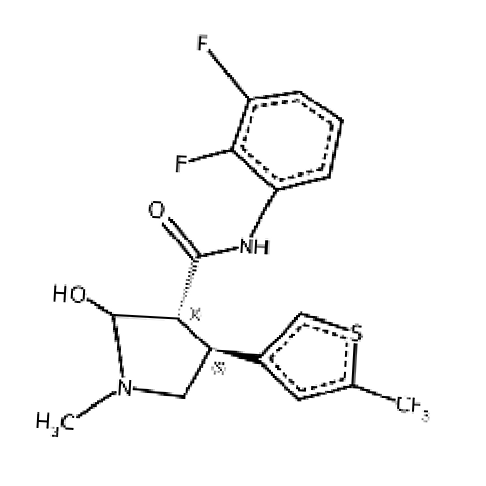 CN1C[C@H](c2csc(C(F)(F)F)c2)[C@@H](C(=O)Nc2cccc(F)c2F)C1O